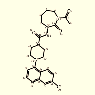 CC(=O)N1CCCC[C@H](NC(=O)N2CCN(c3ccnc4cc(Cl)ccc34)CC2)C1=O